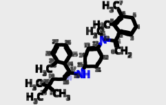 C=C(C1=CCCC(C)=C1C)N(C)C1=CCC(N/C(=C/CC(C)(C)C)C2C=CC=CC2C)CC1